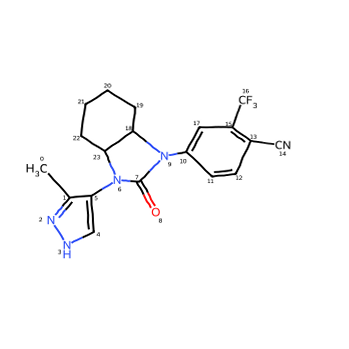 Cc1n[nH]cc1N1C(=O)N(c2ccc(C#N)c(C(F)(F)F)c2)C2CCCCC21